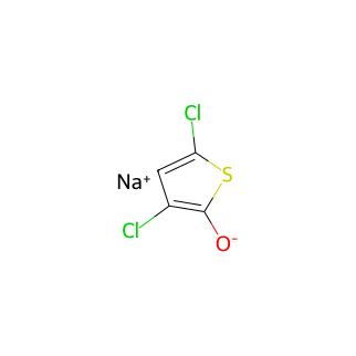 [Na+].[O-]c1sc(Cl)cc1Cl